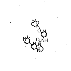 Cc1cc(-c2ccc3c(n2)N(C(=O)Nc2ccnc(OC[C@@H]4COC(C)(C)O4)c2)C2CCN3C2)ccn1